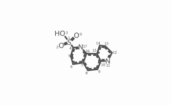 O=S(=O)(O)c1ccc2ccc3ncccc3c2n1